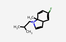 CC(C)CN1C=CC2C=C(F)C=CC21C